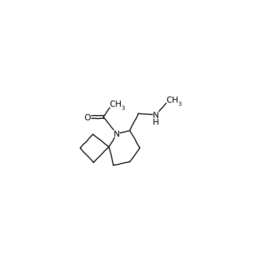 CNCC1CCCC2(CCC2)N1C(C)=O